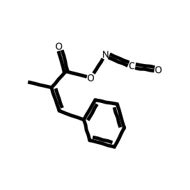 CC(=Cc1ccccc1)C(=O)ON=C=O